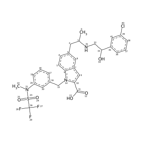 CC(Cc1ccc2c(c1)cc(C(=O)O)n2Cc1cccc(N(C)S(=O)(=O)C(F)(F)F)c1)NCC(O)c1cccc(Cl)c1